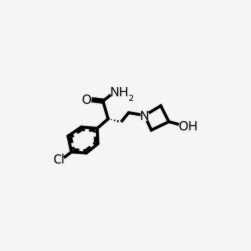 NC(=O)[C@H](CCN1CC(O)C1)c1ccc(Cl)cc1